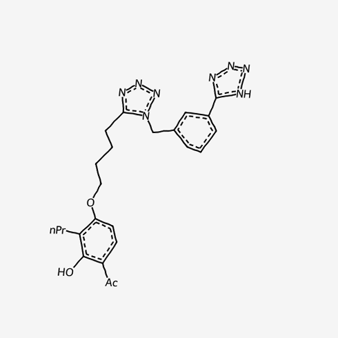 CCCc1c(OCCCCc2nnnn2Cc2cccc(-c3nnn[nH]3)c2)ccc(C(C)=O)c1O